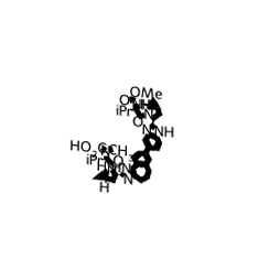 COC(=O)N[C@H](C(=O)N1[C@@H]2CC2C[C@H]1c1nc2cc(-c3ccc4c(c3)CCCc3nc([C@@H]5C[C@H]6C[C@H]6N5C(=O)[C@H](C(C)C)N(C)C(=O)O)[nH]c3-4)ccc2[nH]1)C(C)C